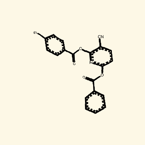 C[CH]c1ccc(C(=O)Oc2nc(OC(=O)c3ccccc3)ccc2C#N)cc1